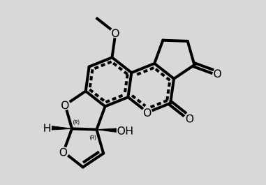 COc1cc2c(c3oc(=O)c4c(c13)CCC4=O)[C@]1(O)C=CO[C@@H]1O2